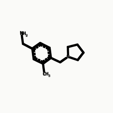 Cc1cc(CN)ccc1CN1CCCC1